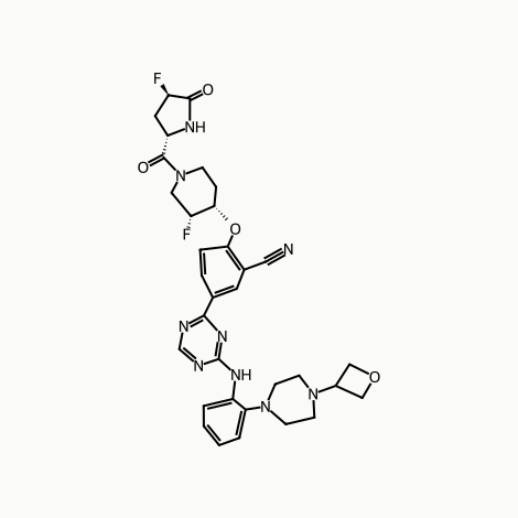 N#Cc1cc(-c2ncnc(Nc3ccccc3N3CCN(C4COC4)CC3)n2)ccc1O[C@H]1CCN(C(=O)[C@@H]2C[C@@H](F)C(=O)N2)C[C@H]1F